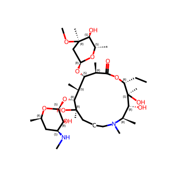 CC[C@H]1OC(=O)[C@H](C)[C@@H](O[C@H]2C[C@@](C)(OC)[C@@H](O)[C@H](C)O2)[C@H](C)[C@@H](O[C@@H]2O[C@H](C)C[C@H](NC)[C@H]2O)[C@](C)(O)CCCN(C)[C@H](C)[C@@H](O)[C@]1(C)O